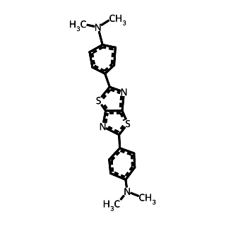 CN(C)c1ccc(-c2nc3sc(-c4ccc(N(C)C)cc4)nc3s2)cc1